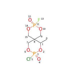 CC1OP(=O)(Cl)OCC12COP(=O)(F)OC2